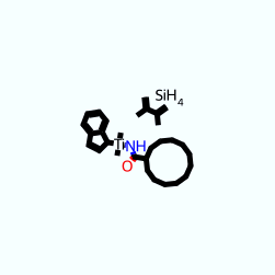 C=C(C)C(=C)C.[CH3][Ti]([CH3])([NH]C(=O)C1CCCCCCCCCCC1)[CH]1C=Cc2ccccc21.[SiH4]